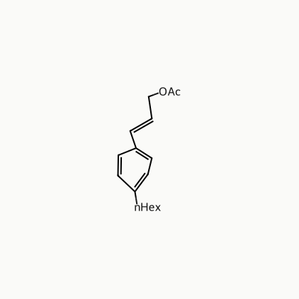 CCCCCCc1ccc(C=CCOC(C)=O)cc1